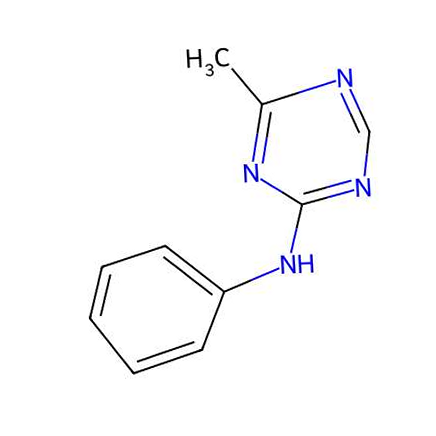 Cc1ncnc(Nc2ccccc2)n1